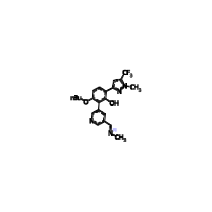 CCCCOc1ccc(-c2cc(C(F)(F)F)n(C)n2)c(O)c1-c1cncc(/C=N/C)c1